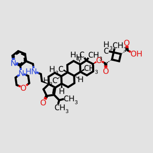 CC(C)C1=C2[C@H]3CC[C@@H]4[C@@]5(C)CC[C@H](OC(=O)[C@H]6C[C@@H](C(=O)O)C6(C)C)C(C)(C)[C@@H]5CC[C@@]4(C)[C@]3(C)CC[C@@]2(CCNCc2cccnc2N2CCOCC2)CC1=O